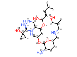 CC(C)/C=C/C(O)OC(CC(C)OC1OC(CNCC(C)CO)CCC1N)C(CN)NC(=N)C1(O)CC1